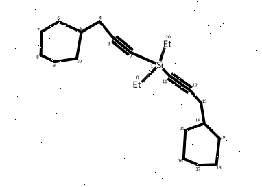 CC[Si](C#CCC1CCCCC1)(C#CCC1CCCCC1)CC